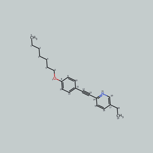 CCCCCCCOc1ccc(C#Cc2ccc(CC)cn2)cc1